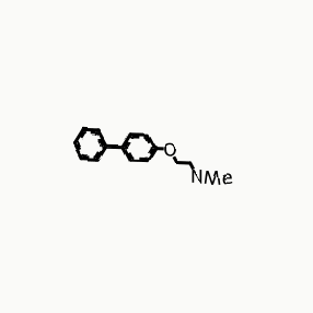 CNCCOc1ccc(-c2ccccc2)cc1